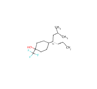 CCC[C@@H](CC(C)C)C1CCC(O)(C(F)(F)F)CC1